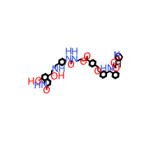 O=C(NCCOC(=O)c1ccc(COc2cccc([C@@H](NC(=O)O[C@H]3CN4CCC3CC4)c3ccccc3)c2)cc1)Nc1ccc(CNC[C@H](O)c2ccc(O)c3[nH]c(=O)ccc23)cc1